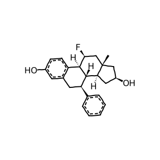 C[C@@]12C[C@@H](O)C[C@H]1[C@H]1[C@@H](c3ccc(O)cc3C[C@@H]1c1ccccc1)[C@@H](F)C2